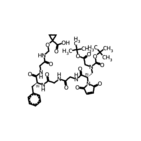 CC(C)(C)OC(=O)CN(C[C@@H](C(=O)NCC(=O)NCC(=O)N[C@@H](Cc1ccccc1)C(=O)NCC(=O)NCOC1(C(=O)O)CC1)N1C(=O)C=CC1=O)C(=O)OC(C)(C)C